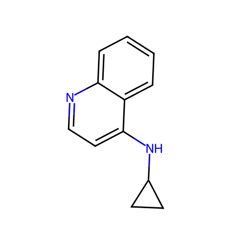 c1ccc2c(NC3CC3)ccnc2c1